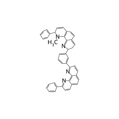 CN1c2c(ccc3c2=NC(c2cccc(-c4ccc5ccc6ccc(-c7ccccc7)nc6c5n4)c2)CC=3)C=CC1c1ccccc1